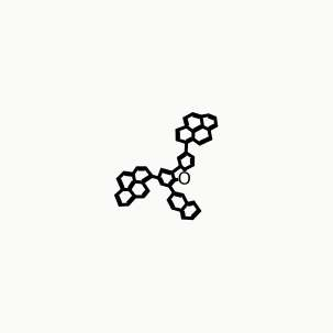 C1=CC2Oc3c(-c4ccc5ccccc5c4)cc(-c4ccc5ccc6cccc7ccc4c5c67)cc3C2C=C1c1ccc2ccc3cccc4ccc1c2c34